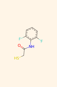 O=C(CS)Nc1c(F)cccc1F